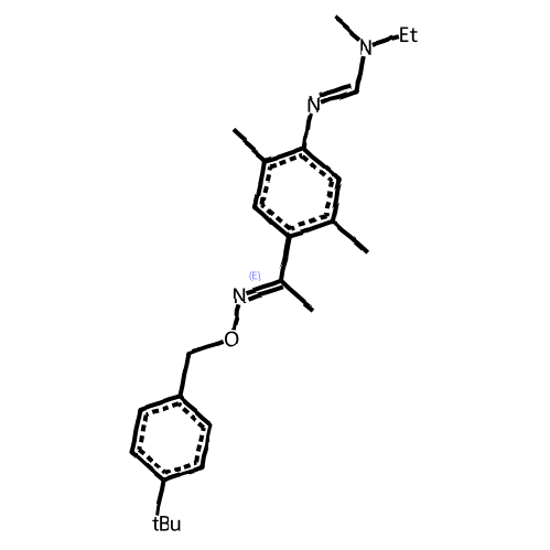 CCN(C)C=Nc1cc(C)c(/C(C)=N/OCc2ccc(C(C)(C)C)cc2)cc1C